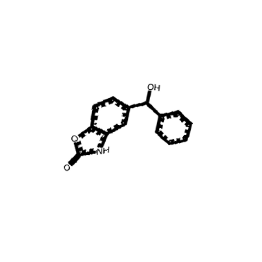 O=c1[nH]c2cc(C(O)c3ccccc3)ccc2o1